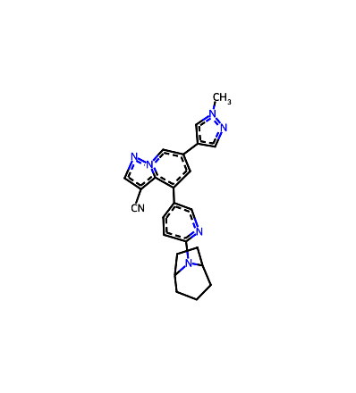 Cn1cc(-c2cc(-c3ccc(N4C5CCCC4CC5)nc3)c3c(C#N)cnn3c2)cn1